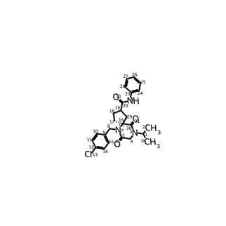 CC(C)N1CC(=O)N(Cc2ccc(Cl)cc2)[C@]2(CCC(C(=O)Nc3ccccc3)C2)C1=O